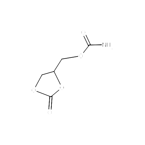 NC(=O)OCC1COC(=O)O1